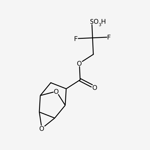 O=C(OCC(F)(F)S(=O)(=O)O)C1CC2OC1C1OC21